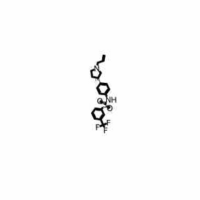 C=CCN1CC[C@@H](c2ccc(NS(=O)(=O)c3cccc(C(F)(F)F)c3)cc2)C1